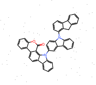 O=c1oc2ccccc2c2ccc3c4ccccc4n(-c4ccc5c(c4)c4ccccc4n5-c4cccc5c4Cc4ccccc4-5)c3c12